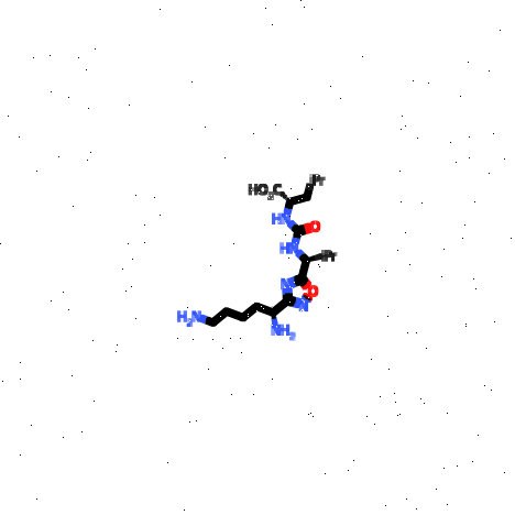 CC(C)C[C@H](NC(=O)N[C@H](c1nc([C@@H](N)CCCCN)no1)C(C)C)C(=O)O